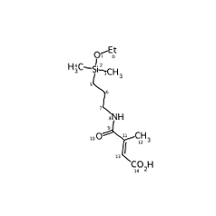 CCO[Si](C)(C)CCCNC(=O)/C(C)=C/C(=O)O